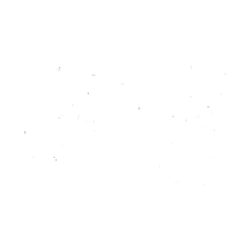 CC1CC1(C(=O)OCCOC(=O)C1(S(=O)(=O)c2ccccc2)CC1C)S(=O)(=O)c1ccccc1